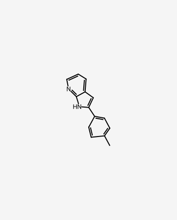 Cc1ccc(-c2cc3cccnc3[nH]2)cc1